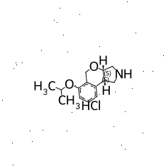 CC(C)Oc1cccc2c1CO[C@@H]1CNC[C@H]21.Cl